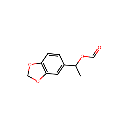 CC(O[C]=O)c1ccc2c(c1)OCO2